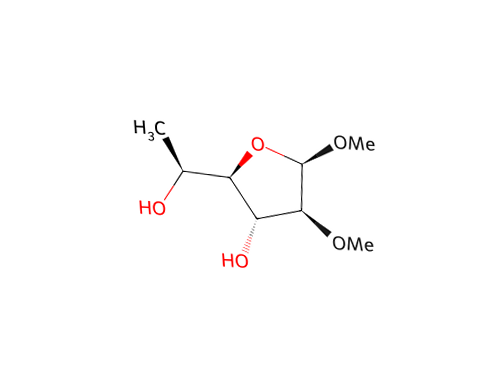 CO[C@@H]1O[C@H]([C@H](C)O)[C@@H](O)[C@@H]1OC